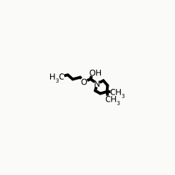 CCCCOC(O)N1CCC(C)(C)CC1